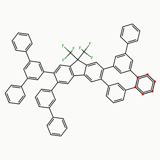 FC(F)(F)C1(C(F)(F)F)c2cc(-c3cc(-c4ccccc4)cc(-c4ccccc4)c3)c(-c3cccc(-c4ccccc4)c3)cc2-c2cc(-c3cccc(-c4ccccc4)c3)c(-c3cc(-c4ccccc4)cc(-c4ccccc4)c3)cc21